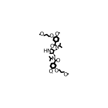 COCCCOc1cc(C(=O)N(C[C@H]2CNC[C@H]2CN(C(=O)c2ccc(OC)c(OCCCOC)c2)C(C)C)C(C)C)ccc1OC